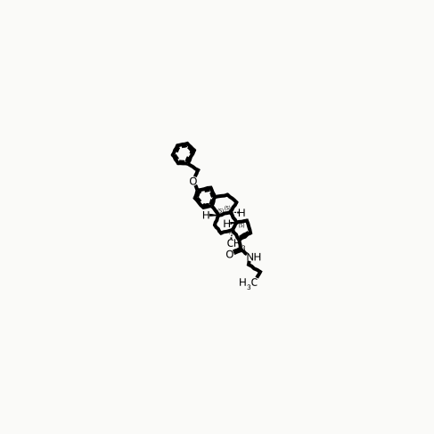 CCCNC(=O)C1=CC[C@H]2[C@@H]3CCc4cc(OCc5ccccc5)ccc4[C@H]3CC[C@]12C